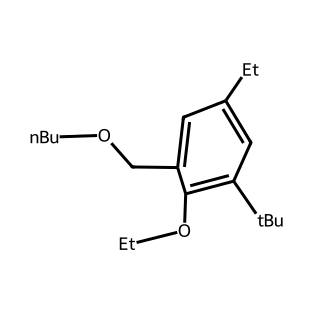 CCCCOCc1cc(CC)cc(C(C)(C)C)c1OCC